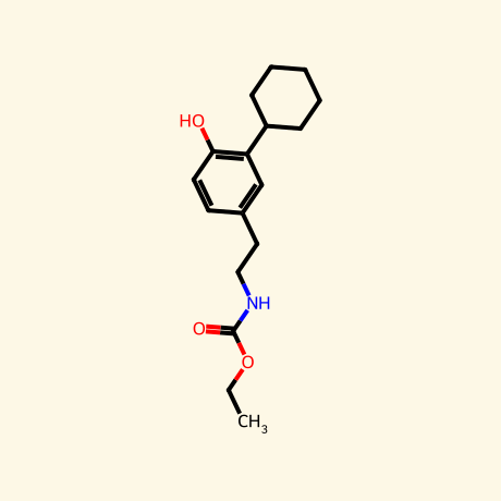 CCOC(=O)NCCc1ccc(O)c(C2CCCCC2)c1